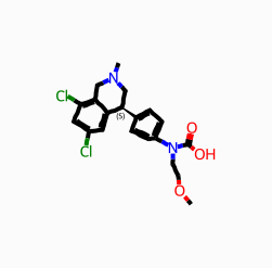 COCCN(C(=O)O)c1ccc([C@@H]2CN(C)Cc3c(Cl)cc(Cl)cc32)cc1